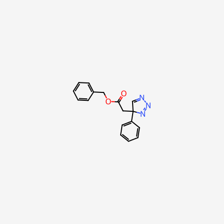 O=C(CC1(c2ccccc2)C=NN=N1)OCc1ccccc1